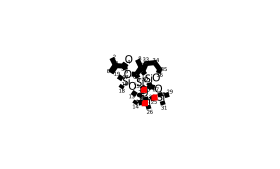 C=C(C)C(=O)OC(CC)[Si](O[Si](C)(C)C)(O[Si](C)(C)C)[Si]1(C(O[Si](C)(C)C)O[Si](C)(C)C)CCCCO1